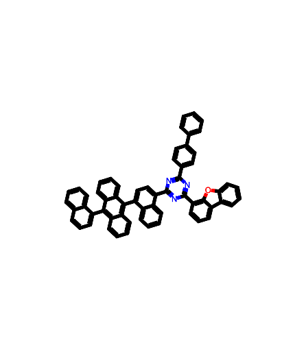 c1ccc(-c2ccc(-c3nc(-c4ccc(-c5c6ccccc6c(-c6cccc7ccccc67)c6ccccc56)c5ccccc45)nc(-c4cccc5c4oc4ccccc45)n3)cc2)cc1